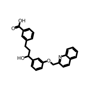 O=C(O)c1cccc(CCC(O)c2cccc(OCc3ccc4ccccc4n3)c2)c1